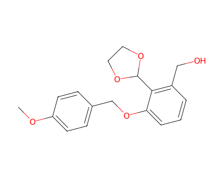 COc1ccc(COc2cccc(CO)c2C2OCCO2)cc1